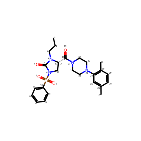 CCCN1C(=O)N(S(=O)(=O)c2ccccc2)C[C@H]1C(=O)N1CCN(c2cc(C)ccc2C)CC1